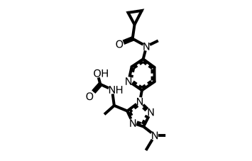 CC(NC(=O)O)c1nc(N(C)C)nn1-c1ccc(N(C)C(=O)C2CC2)cn1